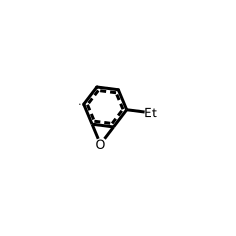 CCc1cc[c]c2c1O2